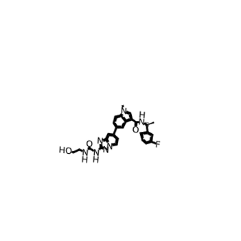 C[C@H](NC(=O)c1cn(C)c2ccc(-c3ccn4nc(NC(=O)NCCO)nc4c3)cc12)c1cccc(F)c1